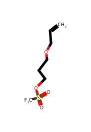 C=CCOCCCOS(=O)(=O)C(F)(F)F